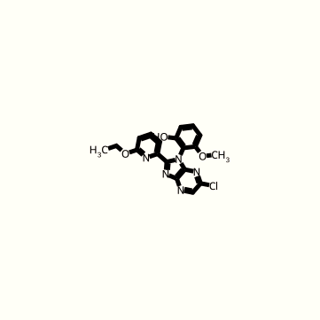 CCOC1=NC(c2nc3ncc(Cl)nc3n2-c2c(O)cccc2OC)=C=C=C1